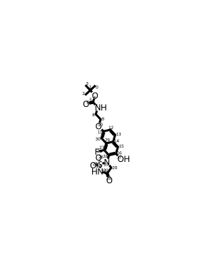 CC(C)(C)OC(=O)NCCOc1ccc2cc(O)c(N3CC(=O)NS3(=O)=O)c(F)c2c1